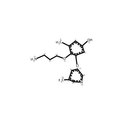 Cc1cc(O)cc(Cl)c1OCCCN.FC(F)(F)c1cccnc1